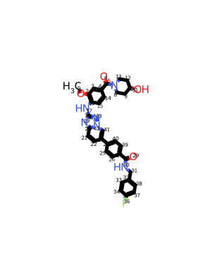 COc1cc(C(=O)N2CCC(O)CC2)ccc1Nc1nc2ccc(-c3ccc(C(=O)NCc4ccc(F)cc4)cc3)cn2n1